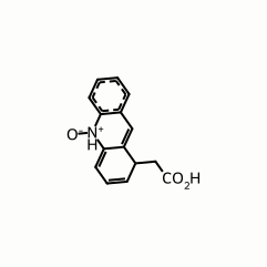 O=C(O)CC1C=CC=C2C1=Cc1ccccc1[NH+]2[O-]